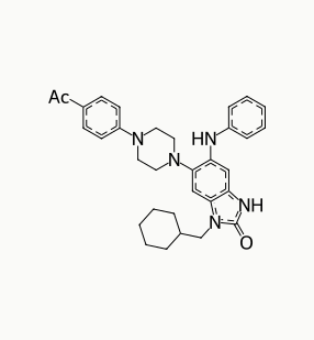 CC(=O)c1ccc(N2CCN(c3cc4c(cc3Nc3ccccc3)[nH]c(=O)n4CC3CCCCC3)CC2)cc1